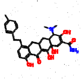 Cc1ccc(CCc2ccc(O)c3c2CC2CC4C(N(C)C)C(O)=C(C(N)=O)CC4(O)C(O)=C2C3=O)cc1